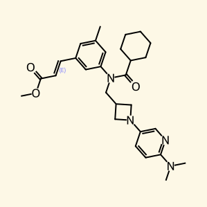 COC(=O)/C=C/c1cc(C)cc(N(CC2CN(c3ccc(N(C)C)nc3)C2)C(=O)C2CCCCC2)c1